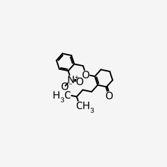 CC(C)CCC1=C(OCc2ccccc2[N+](=O)[O-])CCCC1=O